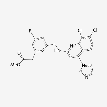 COC(=O)Cc1cc(F)cc(CNc2cc(-n3ccnc3)c3ccc(Cl)c(Cl)c3n2)c1